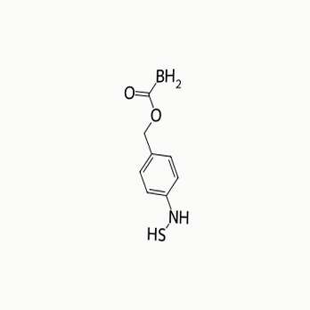 BC(=O)OCc1ccc(NS)cc1